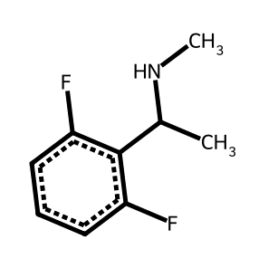 CNC(C)c1c(F)cccc1F